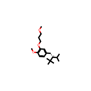 COCCCOc1cc(C[C@H](C(C)C)C(C)(C)C)ccc1OC